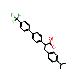 CC(C)c1ccc(CC(C(=O)O)c2ccc(-c3ccc(C(F)(F)F)cc3)cc2)cc1